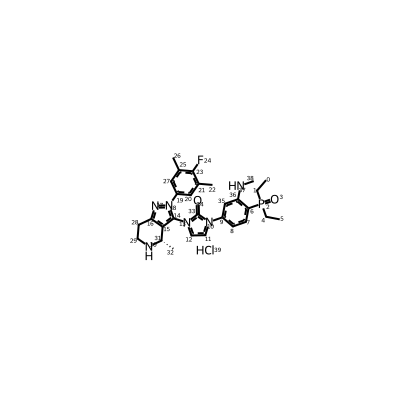 CCP(=O)(CC)c1ccc(-n2ccn(-c3c4c(nn3-c3cc(C)c(F)c(C)c3)CCN[C@H]4C)c2=O)cc1NC.Cl